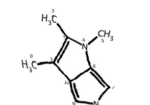 Cc1c(C)n(C)c2c[nH]cc12